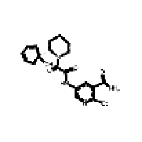 CCc1ncc(NC(=O)C(=O)N2CCCC[C@H]2C2(C)C=CC=CC2)cc1C(N)=O